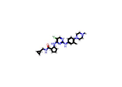 Cc1cc(Nc2ncc(F)c(NC3CCCC3C(=O)NCC3CC3)n2)ccc1N1CCN(C)CC1